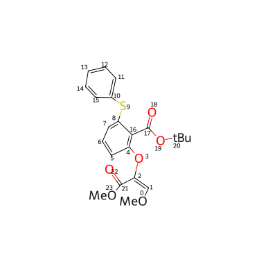 CO/C=C(/Oc1cccc(Sc2ccccc2)c1C(=O)OC(C)(C)C)C(=O)OC